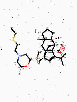 CCSCCN1C[C@H](OC[C@@]23C[C@@H]4[C@H](C)CC[C@H]4[C@]4(C=O)C[C@@H]2C=C(C(C)C)[C@@]34C(=O)O)O[C@H](C)C1